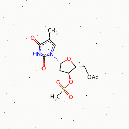 CC(=O)OC[C@H]1O[C@@H](n2cc(C)c(=O)[nH]c2=O)C[C@@H]1OS(C)(=O)=O